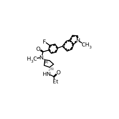 CCC(=O)N[C@H]1CC[C@@H](N(C)C(=O)c2ccc(-c3ccc4c(ccn4C)c3)cc2F)C1